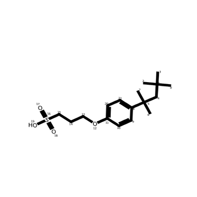 CC(C)(C)CC(C)(C)c1ccc(OCCCS(=O)(=O)O)cc1